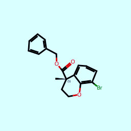 C[C@]1(C(=O)OCc2ccccc2)CCOc2c(Br)cccc21